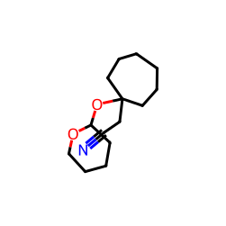 N#CCC1(OC2CCCCO2)CCCCCC1